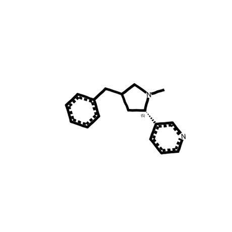 CN1CC(Cc2ccccc2)C[C@H]1c1cccnc1